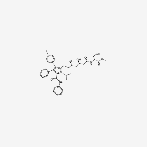 COC(=O)C(CS)NC(=O)C[C@H](O)C[C@H](O)CCn1c(-c2ccc(F)cc2)c(-c2ccccc2)c(C(=O)Nc2ccccc2)c1C(C)C